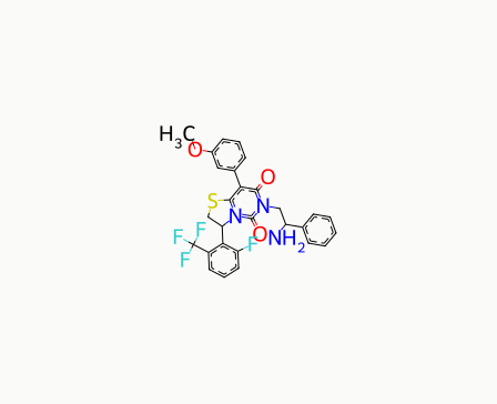 COc1cccc(-c2c3n(c(=O)n(CC(N)c4ccccc4)c2=O)C(c2c(F)cccc2C(F)(F)F)CS3)c1